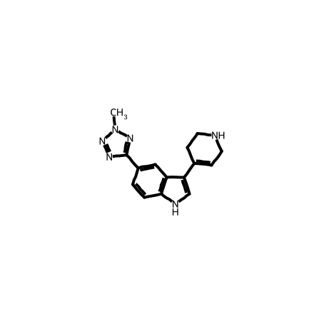 Cn1nnc(-c2ccc3[nH]cc(C4=CCNCC4)c3c2)n1